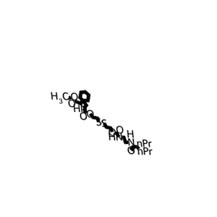 CCCC(CCC)C(=O)NCCNC(=O)OCCSSCCOC(=O)NCC1(CC2OC(C)O2)CCCCC1